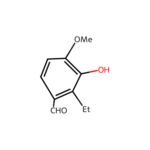 CCc1c(C=O)ccc(OC)c1O